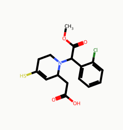 COC(=O)C(c1ccccc1Cl)N1CCC(S)=CC1CC(=O)O